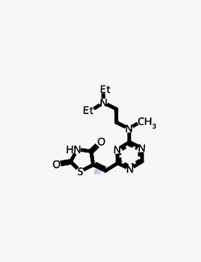 CCN(CC)CCN(C)c1ncnc(/C=C2/SC(=O)NC2=O)n1